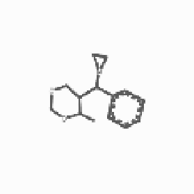 CC1OCOCC1C(c1ccccc1)N1CC1